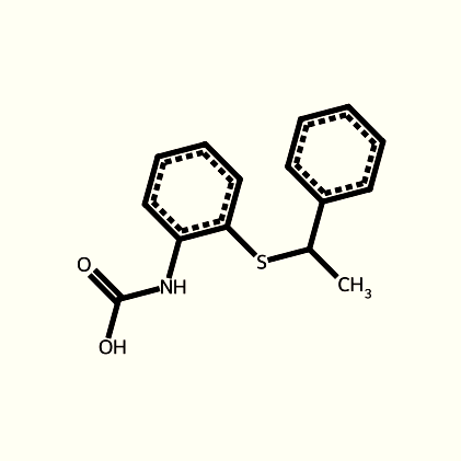 CC(Sc1ccccc1NC(=O)O)c1ccccc1